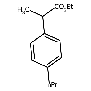 CCCc1ccc(C(C)C(=O)OCC)cc1